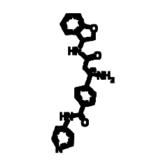 N[C@H](CC(=O)NC1COc2ccccc21)c1ccc(C(=O)Nc2ccncc2)cc1